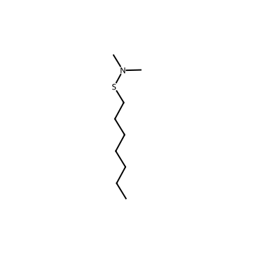 CCCCCCCSN(C)C